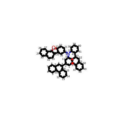 c1cc(-c2cc3ccccc3c3ccccc23)cc(N(c2ccc3oc4c5ccccc5ccc4c3c2)c2ccccc2-c2ccc3ccccc3c2)c1